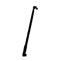 CC#CC#CC#CC#CC#CC#CC#CC#CC#CC#CC#CC#CC#CC#CC#CC#CC#CC#CC#CC#CC#CC#CC#CC#CC#CC#CC#CC#CC#CC#CC#CC#CC#CC#CC#CC#CC#CC#CC#CC#CC#CC#CC#CC#CC#CC#CC#CC#CC#CC#CC#CC#CC#CC#CC#CC#CC#CC#CC#CC#CC#CC#N